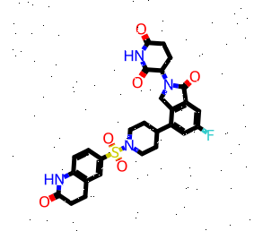 O=C1CCC(N2Cc3c(cc(F)cc3C3CCN(S(=O)(=O)c4ccc5c(c4)CCC(=O)N5)CC3)C2=O)C(=O)N1